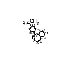 CC(Br)c1ccc(N2N=CC=Cc3ccccc32)cc1